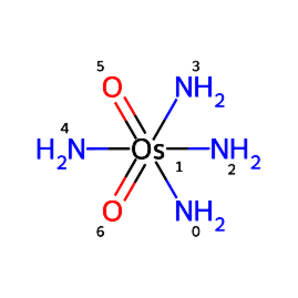 [NH2][Os]([NH2])([NH2])([NH2])(=[O])=[O]